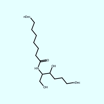 CCCCCCCCCCCCCCCCC(=O)NC(CO)C(O)CCCCCCCCCCCCC